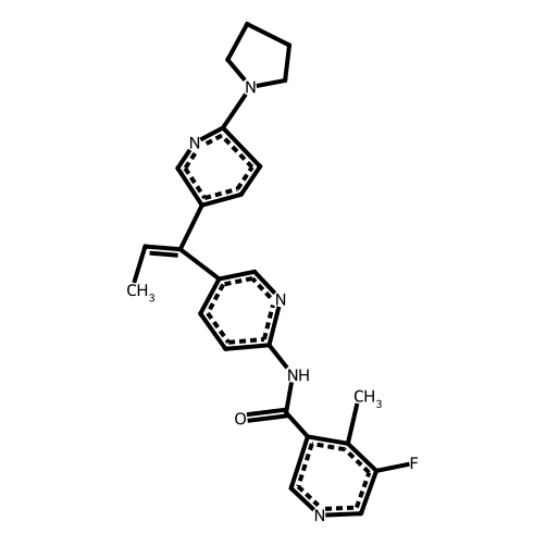 C/C=C(\c1ccc(NC(=O)c2cncc(F)c2C)nc1)c1ccc(N2CCCC2)nc1